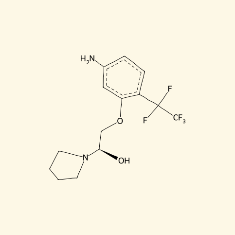 Nc1ccc(C(F)(F)C(F)(F)F)c(OC[C@@H](O)N2CCCC2)c1